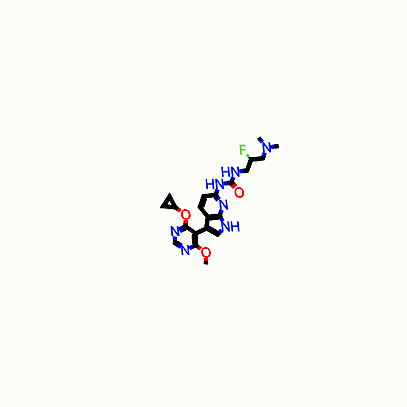 COc1ncnc(OC2CC2)c1-c1c[nH]c2nc(NC(=O)NC[C@@H](F)CN(C)C)ccc12